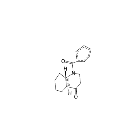 O=C1CCN(C(=O)c2ccccc2)[C@H]2CCCC[C@H]12